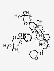 CC1(C)COC2(CC3C[C@@]34[C@@H]3[C@@H](CC[C@@]4(O)C2)[C@@H]2CC[C@@](O)(/C=C\COC4CCCCO4)[C@@]2(C)C[C@@H]3c2ccc(C3(C)OCC(C)(C)CO3)cc2)OC1